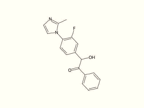 Cc1nccn1-c1ccc(C(O)C(=O)c2ccccc2)cc1F